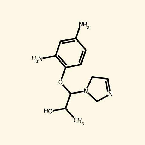 CC(O)C(Oc1ccc(N)cc1N)N1CC=NC1